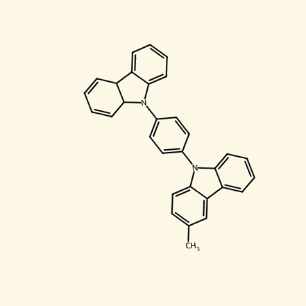 Cc1ccc2c(c1)c1ccccc1n2-c1ccc(N2c3ccccc3C3C=CC=CC32)cc1